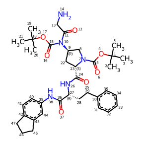 CC(C)(C)OC(=O)N1C[C@H](N(C(=O)CN)C(=O)OC(C)(C)C)C[C@H]1C(=O)N[C@H](CCc1ccccc1)C(=O)Nc1ccc2c(c1)CCC2